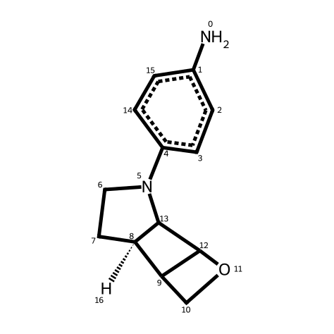 Nc1ccc(N2CC[C@@H]3C4COC4C32)cc1